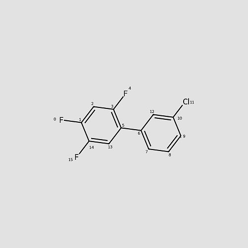 Fc1cc(F)c(-c2cc[c]c(Cl)c2)cc1F